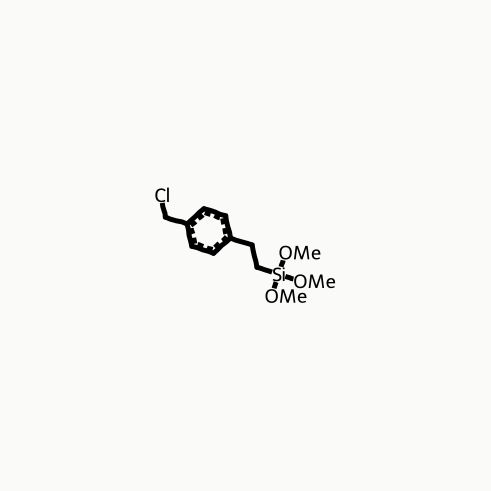 CO[Si](CCc1ccc(CCl)cc1)(OC)OC